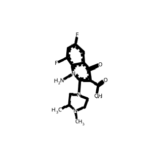 CC1CN(c2c(C(=O)O)c(=O)c3cc(F)cc(F)c3n2N)CCN1C